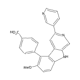 COc1ccc2[nH]c3cnc(-c4cccnc4)cc3c2c1-c1ccc(C(=O)O)cc1